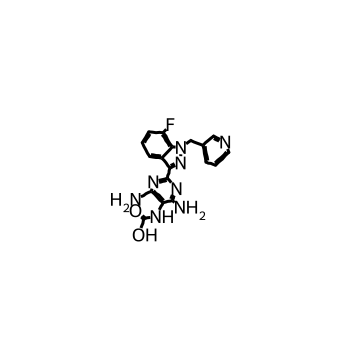 Nc1nc(-c2nn(Cc3cccnc3)c3c(F)cccc23)nc(N)c1NC(=O)O